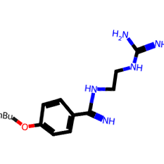 CCCCOc1ccc(C(=N)NCCNC(=N)N)cc1